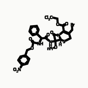 CCCOC1(NC(=O)C(NC(=O)OCc2ccc([N+](=O)[O-])cc2)c2ccccc2)C(=O)N2C(C(=O)OCC(Cl)(Cl)Cl)=C(CBr)CS[C@H]21